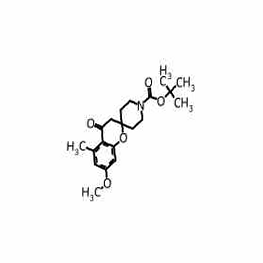 COc1cc(C)c2c(c1)OC1(CCN(C(=O)OC(C)(C)C)CC1)CC2=O